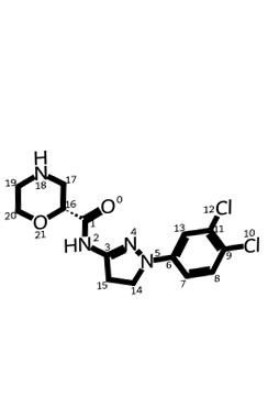 O=C(NC1=NN(c2ccc(Cl)c(Cl)c2)CC1)[C@H]1CNCCO1